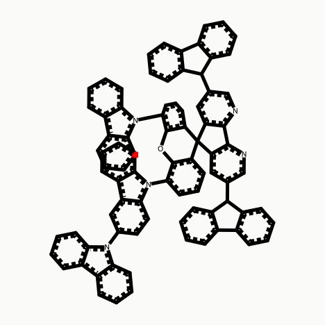 c1ccc2c(c1)-c1ccccc1C2c1cnc2c(c1)C1(c3cc(C4c5ccccc5-c5ccccc54)cnc3-2)c2cccc(-n3c4ccccc4c4ccccc43)c2Oc2c(-n3c4ccccc4c4cc(-n5c6ccccc6c6ccccc65)ccc43)cccc21